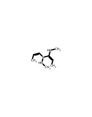 C/C=C\N(NC)/C(=C\C)NC